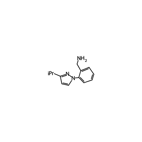 CC(C)c1ccn(-c2ccccc2CN)n1